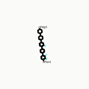 CCCCCCCC1CCC(C2CC=C(c3ccc(-c4ccc(-c5ccc(CCCCC)c(F)c5F)cc4)c(F)c3)CC2)CC1